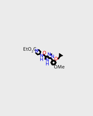 CCOC(=O)N1CCC(NC(=O)c2c[nH]c3c(-c4ccc(OC)cc4OCC4CC4)ncnc23)CC1